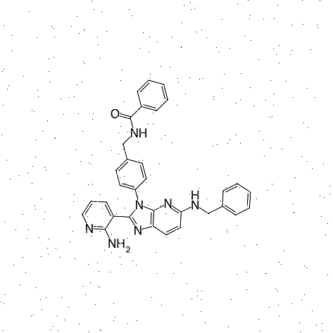 Nc1ncccc1-c1nc2ccc(NCc3ccccc3)nc2n1-c1ccc(CNC(=O)c2ccccc2)cc1